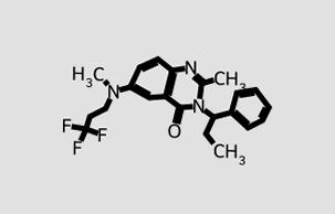 CCC(c1ccccc1)n1c(C)nc2ccc(N(C)CCC(F)(F)F)cc2c1=O